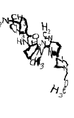 C=C/N=C1/C=CC(N2CCN(CCOC)CC2)=N/C1=C(/N)Nc1cc(NC(=O)c2cccc(C(C)(C)N)c2)ccc1C